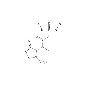 CCOP(=O)(CC(=O)C(C)C1C(=O)OCN1C(=O)O)OCC